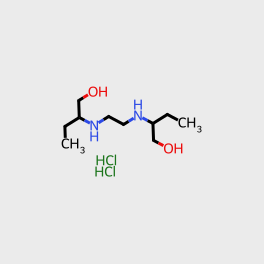 CCC(CO)NCCNC(CC)CO.Cl.Cl